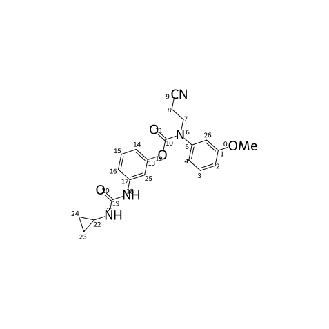 COc1cccc(N(CCC#N)C(=O)Oc2cccc(NC(=O)NC3CC3)c2)c1